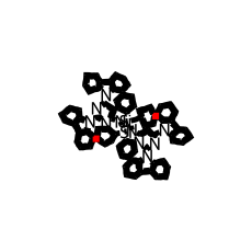 c1ccc([Si]2(c3ccccc3)N(c3cc(-n4c5ccccc5c5ccccc54)nc(-n4c5ccccc5c5ccccc54)n3)[Si](c3ccccc3)(c3ccccc3)N2c2cc(-n3c4ccccc4c4ccccc43)nc(-n3c4ccccc4c4ccccc43)n2)cc1